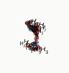 COc1ccc(C2c3cc(OC)c(OC)cc3CC[N+]2(C)CCCOC(=O)/C=C\C(=O)OCCC[N+]2(C)CCc3cc(OC)c(OC)cc3C2Cc2cc(OC)c(OC)c(OC)c2)cc1OC